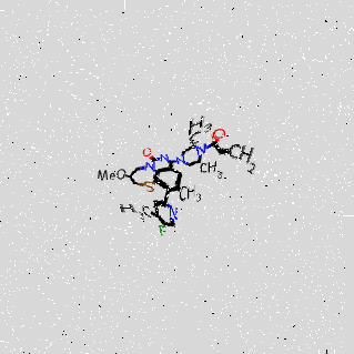 C=CC(=O)N1[C@H](C)CN(c2nc(=O)n3c4c(c(-c5cc(C)c(F)cn5)c(C)cc24)SC[C@@H](OC)C3)C[C@@H]1C